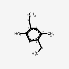 CCc1cc(O)c(CC)cc1C